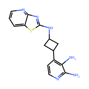 Nc1nccc(C2CC(Nc3nc4ncccc4s3)C2)c1N